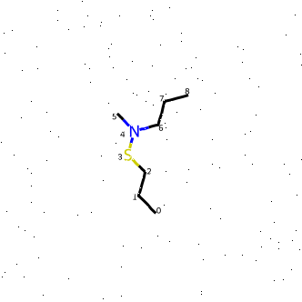 CCCSN(C)CCC